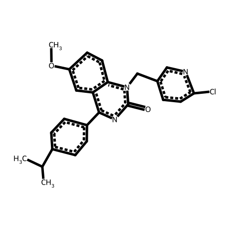 COc1ccc2c(c1)c(-c1ccc(C(C)C)cc1)nc(=O)n2Cc1ccc(Cl)nc1